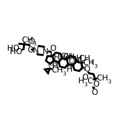 CC(C)(CC(=O)O[C@H]1CC[C@]2(C)[C@H]3CC[C@@H]4[C@H]5[C@H](C6(C)CC6)CC[C@]5(C(=O)N5CCN(OC(=O)C(C)(CO)CO)CC5)CC[C@@]4(C)[C@]3(C)CC[C@H]2C1(C)C)OC=O